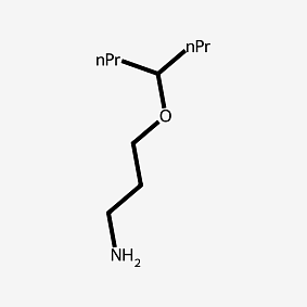 CCCC(CCC)OCCCN